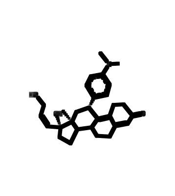 CN(C)c1ccc([C@H]2C[C@@]3(C)C(CC[C@@]3(O)/C=C\CO)C3CCC4=CC(=O)CCC4=C32)cc1